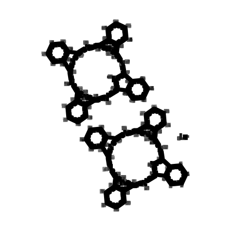 [Lu].c1ccc2c(c1)-c1nc-2nc2[nH]c(nc3nc(nc4[nH]c(n1)c1ccccc41)-c1ccccc1-3)c1ccccc21.c1ccc2c(c1)-c1nc-2nc2[nH]c(nc3nc(nc4[nH]c(n1)c1ccccc41)-c1ccccc1-3)c1ccccc21